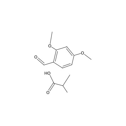 CC(C)C(=O)O.COc1ccc(C=O)c(OC)c1